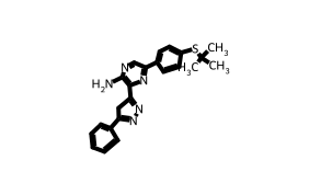 CC(C)(C)Sc1ccc(-c2cnc(N)c(C3=NN=C(c4ccccc4)C3)n2)cc1